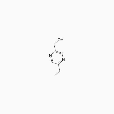 CCc1cnc(CO)cn1